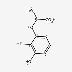 CCCC(Oc1cccc(O)c1F)C(=O)O